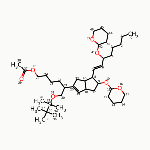 CCCCCC(C=CC1C(OC2CCCCO2)CC2C=C(C(CCCCOC(C)=O)CO[Si](C)(C)C(C)(C)C)CC21)OC1CCCCO1